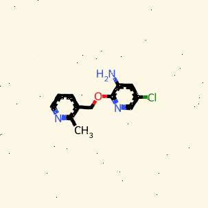 Cc1ncccc1COc1ncc(Cl)cc1N